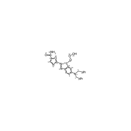 CC(C)CN(CC(C)C)c1ccc(N=Nc2ncc(C(N)=O)o2)c(SOOO)c1